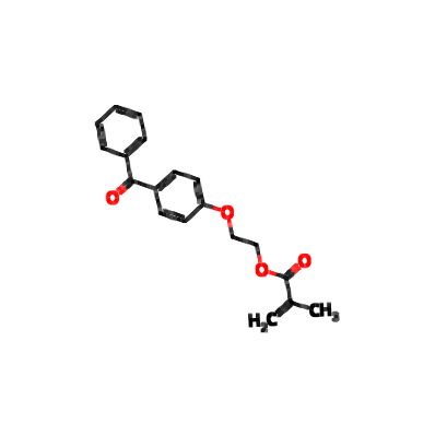 C=C(C)C(=O)OCCOc1ccc(C(=O)c2ccccc2)cc1